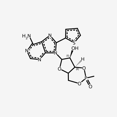 CP1(=O)OCC2OC(n3c(-c4cccs4)nc4c(N)ncnc43)[C@@H](O)[C@H]2O1